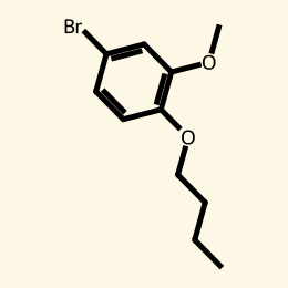 CCCCOc1ccc(Br)cc1OC